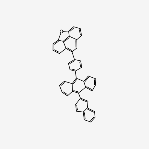 c1ccc2cc(-c3c4ccccc4c(-c4ccc(-c5cc6cccc7oc8cccc5c8c67)cc4)c4ccccc34)ccc2c1